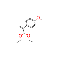 C=C(c1ccc(OC)cc1)C(OCC)OCC